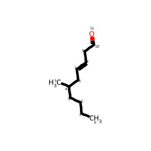 CCCCC(C)CC=CCC=O